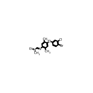 CCN(C)C=Nc1cc(C)c(Oc2ccc(Br)c(Cl)c2)cc1C